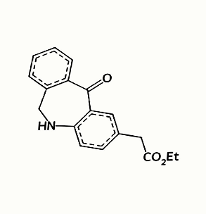 CCOC(=O)Cc1ccc2c(c1)C(=O)c1ccccc1CN2